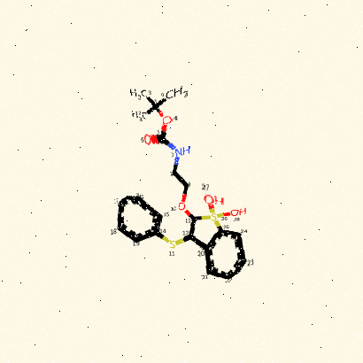 CC(C)(C)OC(=O)NCCOC1C(Sc2ccccc2)c2ccccc2S1(O)O